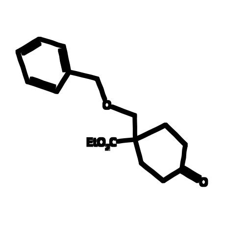 CCOC(=O)C1(COCc2ccccc2)CCC(=O)CC1